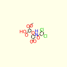 CCOC(=O)c1cc(Oc2ccc(C(=O)OC)cc2NC(=O)c2cc(Cl)cc(Cl)c2)cc(C(=O)O)c1